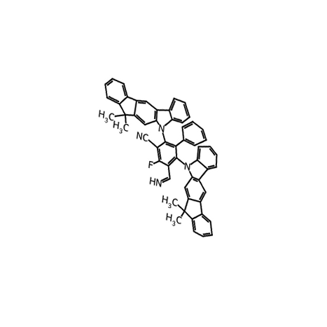 CC1(C)c2ccccc2-c2cc3c4ccccc4n(-c4c(C#N)c(F)c(C=N)c(-n5c6ccccc6c6cc7c(cc65)C(C)(C)c5ccccc5-7)c4-c4ccccc4)c3cc21